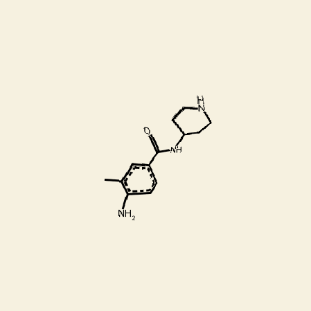 Cc1cc(C(=O)NC2CCNCC2)ccc1N